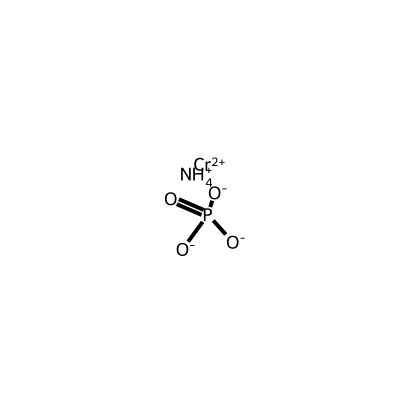 O=P([O-])([O-])[O-].[Cr+2].[NH4+]